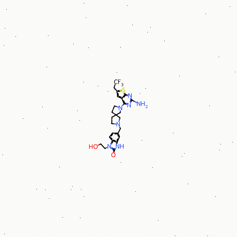 Nc1nc(N2CCC3(CCN(Cc4ccc5c(c4)[nH]c(=O)n5CCO)C3)C2)c2cc(CC(F)(F)F)sc2n1